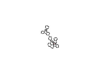 c1ccc(-n2c3ccccc3c3cc(-c4ccc(N(c5cccc6ccccc56)c5cccc6ccc7c8ccccc8oc7c56)cc4)ccc32)cc1